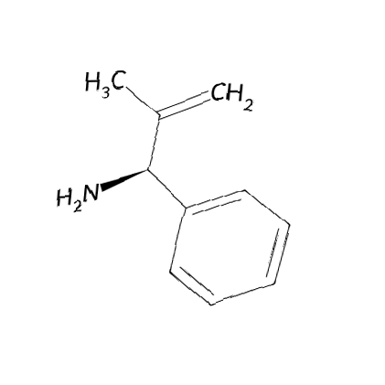 C=C(C)[C@H](N)c1ccccc1